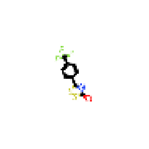 O=c1nc(-c2ccc(C(F)(F)F)cc2)ss1